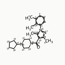 Cc1cccc(-n2nc(C)c(C(=O)N3CCN(C4CCCC4)CC3)c2C)c1C